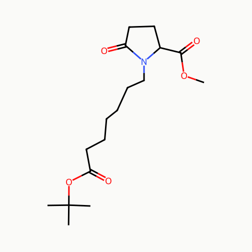 COC(=O)C1CCC(=O)N1CCCCCCC(=O)OC(C)(C)C